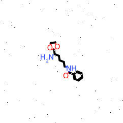 N[C@@H](CCCCNC(=O)c1ccccc1)C1OCCO1